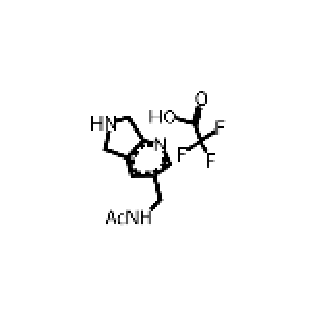 CC(=O)NCc1cnc2c(c1)CNC2.O=C(O)C(F)(F)F